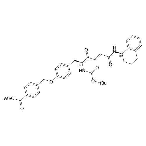 COC(=O)c1ccc(COc2ccc(C[C@H](NC(=O)OC(C)(C)C)C(=O)C=CC(=O)N[C@@H]3CCCc4ccccc43)cc2)cc1